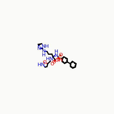 O=C(NC(CCCNc1ncc[nH]1)(NS(=O)(=O)c1ccc(-c2ccccc2)cc1)C(=O)O)C1CCNO1